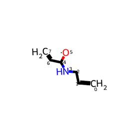 C=CCNC([O])C=C